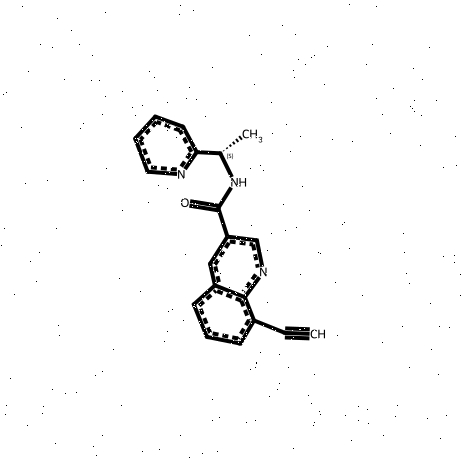 C#Cc1cccc2cc(C(=O)N[C@@H](C)c3ccccn3)cnc12